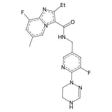 CCc1nc2c(F)cc(C)cn2c1C(=O)NCc1cnc(N2CCNC=N2)c(F)c1